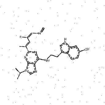 C=N/C=C(F)\C=C(/C)c1nc(NCCc2c[nH]c3cc(O)ccc23)c2ncn(C(C)C)c2n1